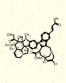 CCCC(=O)/C=C/c1ccc2[nH]c3c(c2c1)CN1CC(CC)=C[C@@H](C1)C[C@]3(C(=O)OC)c1cc2c(cc1OC)N(C)[C@H]1[C@@](O)(C(=O)OC)[C@H](OC(C)=O)[C@]3(CC)C=CCN4CC[C@]21[C@@H]43